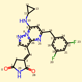 O=C1C/C(=C\c2cnn3c(NC4CC4)cc(Cc4cc(F)cc(F)c4)nc23)C(=O)N1